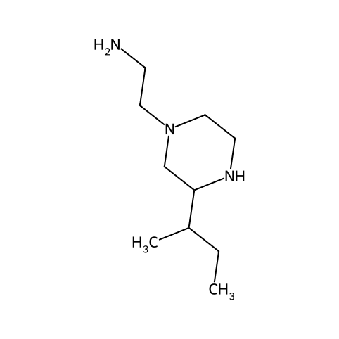 CCC(C)C1CN(CCN)CCN1